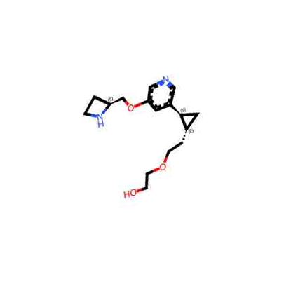 OCCOCC[C@H]1C[C@@H]1c1cncc(OC[C@@H]2CCN2)c1